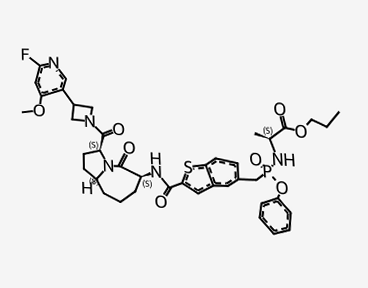 CCCOC(=O)[C@H](C)NP(=O)(Cc1ccc2sc(C(=O)N[C@H]3CCC[C@H]4CC[C@@H](C(=O)N5CC(c6cnc(F)cc6OC)C5)N4C3=O)cc2c1)Oc1ccccc1